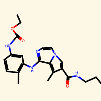 CCCNC(=O)c1cn2ccnc(Nc3cc(NC(=O)OCC)ccc3C)c2c1C